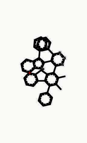 Cc1c(C)c(-c2ccccc2)c2c(c1-c1nnnc(-c3ccccc3)c1-c1[se]c3ccccc3c1-c1ccccc1)Cc1ccccc1-2